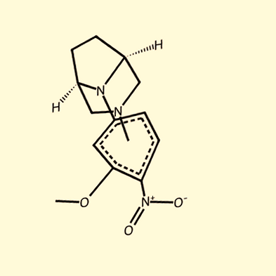 COc1cc(N2[C@@H]3CC[C@H]2CN(C)C3)ccc1[N+](=O)[O-]